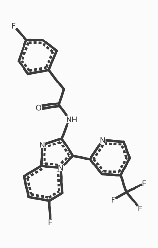 O=C(Cc1ccc(F)cc1)Nc1nc2ccc(F)cn2c1-c1cc(C(F)(F)F)ccn1